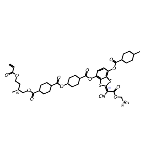 [C-]#[N+]/C(C(=O)OC[C@H](C)CC)=C1/Sc2c(OC(=O)C3CCC(C)CC3)ccc(OC(=O)C3CCC(OC(=O)C4CCC(C(=O)OC[C@@H](C)CCOC(=O)C=C)CC4)CC3)c2S1